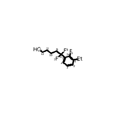 CCc1cccc(C(F)(F)CCCCO)c1F